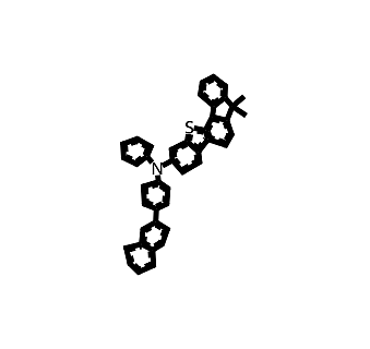 CC1(C)c2ccccc2-c2c1ccc1c2sc2cc(N(c3ccccc3)c3ccc(-c4ccc5ccccc5c4)cc3)ccc21